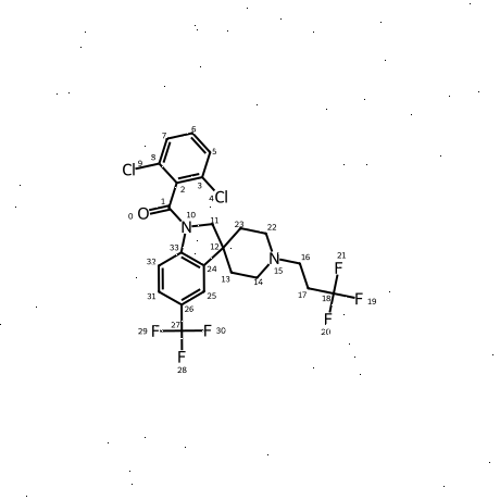 O=C(c1c(Cl)cccc1Cl)N1CC2(CCN(CCC(F)(F)F)CC2)c2cc(C(F)(F)F)ccc21